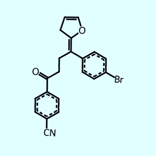 N#Cc1ccc(C(=O)CCC(=C2CC=CO2)c2ccc(Br)cc2)cc1